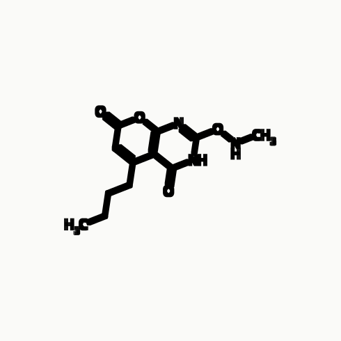 CCCCc1cc(=O)oc2nc(ONC)[nH]c(=O)c12